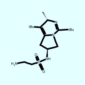 C[C@@H]1N=C(C(C)(C)C)N2C[C@@H](NS(=O)(=O)CCN)CC2=C1C(C)(C)C